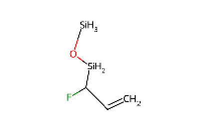 C=CC(F)[SiH2]O[SiH3]